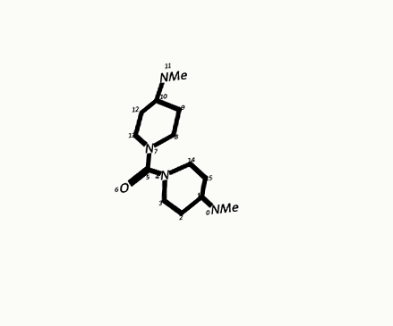 CNC1CCN(C(=O)N2CCC(NC)CC2)CC1